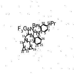 CC(C)c1ccc(N2C3=NC(C(F)(F)F)C(CN(CC4CC4)CC4CC4)N3c3ccccc32)c(Br)c1